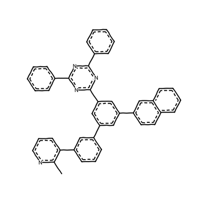 Cc1ncccc1-c1cccc(-c2cc(-c3ccc4ccccc4c3)cc(-c3nc(-c4ccccc4)nc(-c4ccccc4)n3)c2)c1